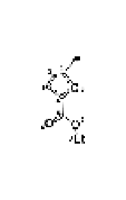 [CH2]c1ccc(C(=O)OCC)o1